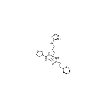 O=C(NC(CCCNc1ncc[nH]1)(NC(=O)C1CCNO1)C(=O)O)OCc1ccccc1